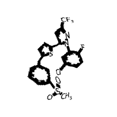 CS(=O)(=O)c1cccc(-c2ccc(-c3cc(C(F)(F)F)nn3-c3cc(Cl)ccc3F)s2)c1